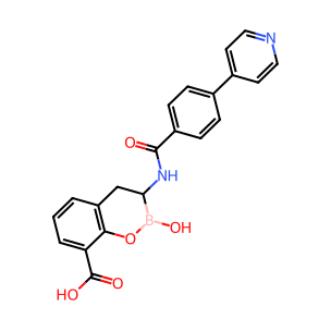 O=C(NC1Cc2cccc(C(=O)O)c2OB1O)c1ccc(-c2ccncc2)cc1